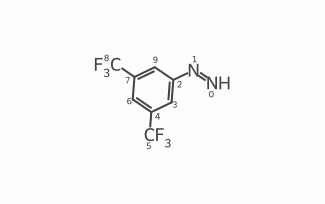 N=Nc1cc(C(F)(F)F)cc(C(F)(F)F)c1